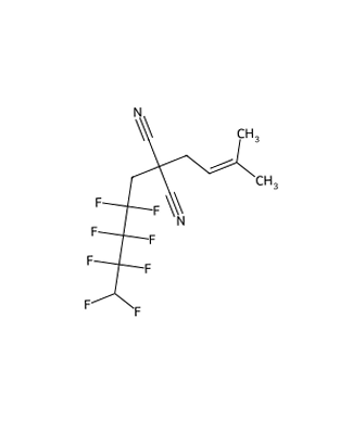 CC(C)=CCC(C#N)(C#N)CC(F)(F)C(F)(F)C(F)(F)C(F)F